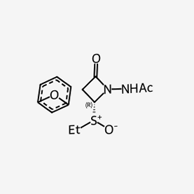 CC[S+]([O-])[C@@H]1CC(=O)N1NC(C)=O.c1cc2cc(c1)O2